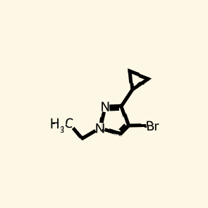 CCn1cc(Br)c(C2CC2)n1